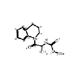 CC(NC(=O)OC(C)(C)C)C(=O)N1CCCc2ccccc21